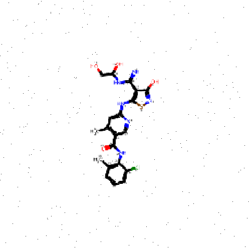 Cc1cc(Nc2snc(O)c2C(=N)NC(O)CO)ncc1C(=O)Nc1c(C)cccc1Cl